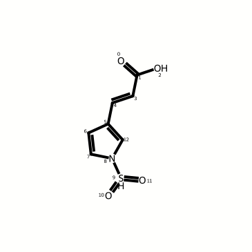 O=C(O)/C=C/c1ccn([SH](=O)=O)c1